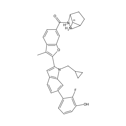 Cc1c(-c2cc3ccc(-c4cccc(O)c4F)cc3n2CC2CC2)oc2cc(C(=O)N3CC4CCC3[C@@H]4N)ccc12